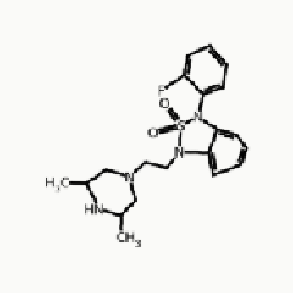 CC1CN(CCN2c3ccccc3N(c3ccccc3F)S2(=O)=O)CC(C)N1